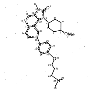 CO[C@H]1CC[C@@H](n2c(=O)n(C)c3cnc4ccc(-c5ccc(OCCCN(C)C)cc5)cc4c32)CC1